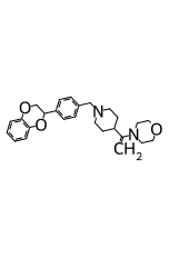 C=C(C1CCN(Cc2ccc(C3COc4ccccc4O3)cc2)CC1)N1CCOCC1